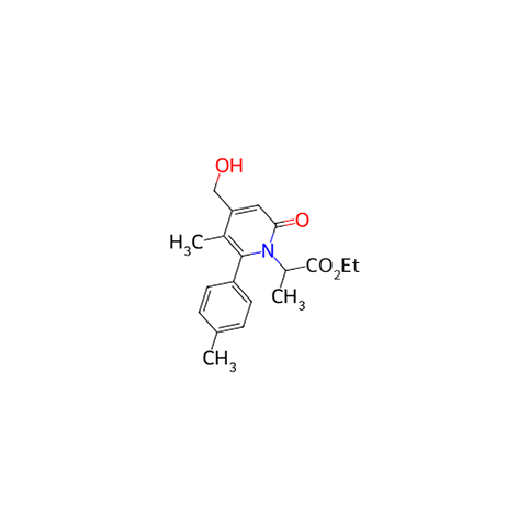 CCOC(=O)C(C)n1c(-c2ccc(C)cc2)c(C)c(CO)cc1=O